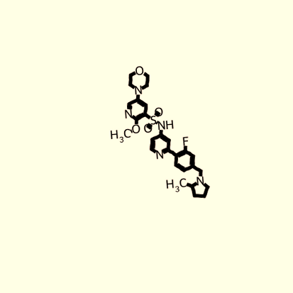 COc1ncc(N2CCOCC2)cc1S(=O)(=O)Nc1ccnc(-c2ccc(CN3CCCC3C)cc2F)c1